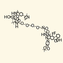 Cc1ncsc1-c1ccc([C@H](C)NC(=O)[C@@H]2C[C@@H](O)CN2C(=O)[C@@H](NC(=O)COCCOCCOCCOCCN(C)C(=O)CC(=O)Nc2nc(N3CCN(C(=O)OC(C)(C)C)CC3)c3cc(Cl)c(-c4c(O)cccc4F)c(F)c3n2)C(C)(C)C)cc1